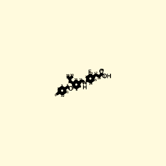 Cc1ccc(COc2ccc(CNc3ccc(CCC(=O)O)c(F)c3)cc2CC(C)C)cc1